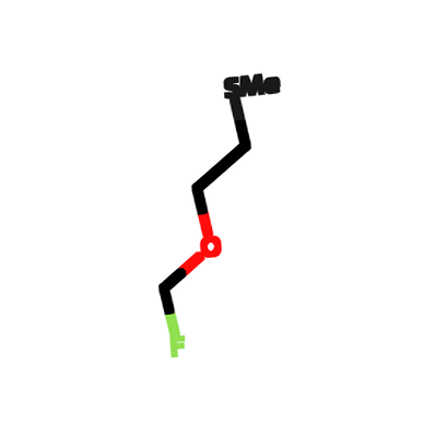 CSCCOCF